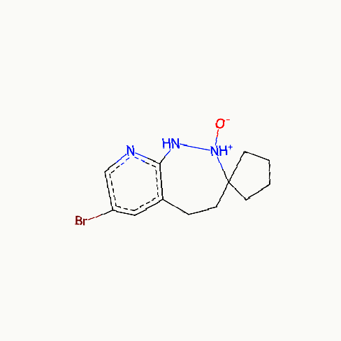 [O-][NH+]1Nc2ncc(Br)cc2CCC12CCCC2